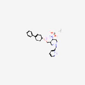 CS(=O)(=O)NC1CCN(Cc2ccccn2)CC1CO[C@H]1CC=C(c2ccccc2)CC1